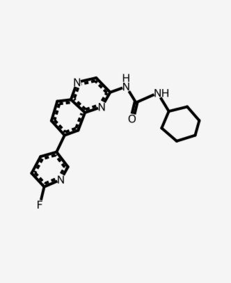 O=C(Nc1cnc2ccc(-c3ccc(F)nc3)cc2n1)NC1CCCCC1